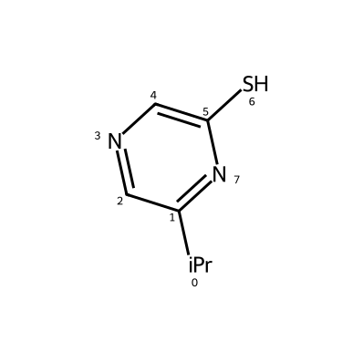 CC(C)c1cncc(S)n1